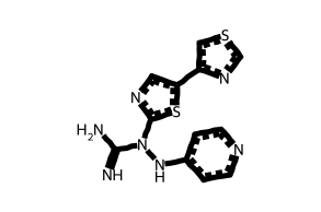 N=C(N)N(Nc1ccncc1)c1ncc(-c2cscn2)s1